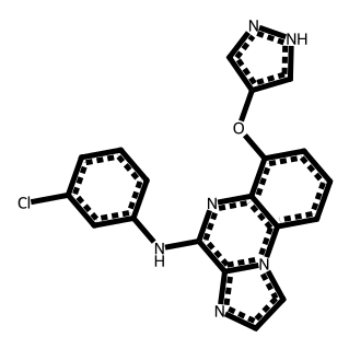 Clc1cccc(Nc2nc3c(Oc4cn[nH]c4)cccc3n3ccnc23)c1